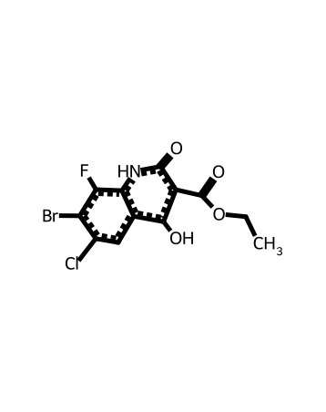 CCOC(=O)c1c(O)c2cc(Cl)c(Br)c(F)c2[nH]c1=O